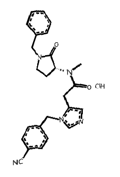 CN(C(=O)Cc1cncn1Cc1ccc(C#N)cc1)[C@@H]1CCN(Cc2ccccc2)C1=O.Cl